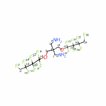 NCC(CN)(COC(F)(F)C(F)(F)C(F)(F)CF)COC(F)(F)C(F)(F)C(F)(F)CF